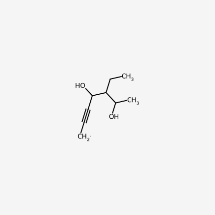 [CH2]C#CC(O)C(CC)C(C)O